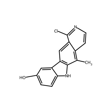 Cc1c2ccnc(Cl)c2cc2c1[nH]c1ccc(O)cc12